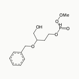 COO[PH](=O)OCCC(CO)OCc1ccccc1